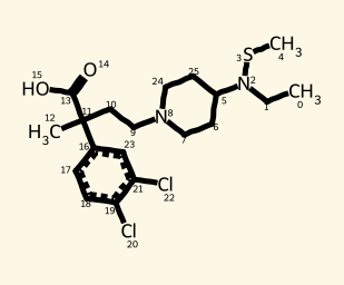 CCN(SC)C1CCN(CCC(C)(C(=O)O)c2ccc(Cl)c(Cl)c2)CC1